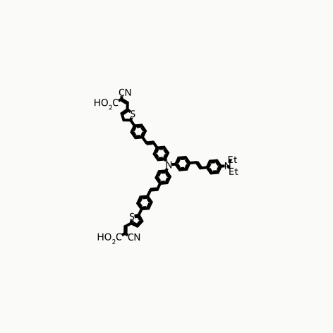 CCN(CC)c1ccc(/C=C/c2ccc(N(c3ccc(/C=C/c4ccc(-c5ccc(/C=C(\C#N)C(=O)O)s5)cc4)cc3)c3ccc(/C=C/c4ccc(C5CC=C(/C=C(/C#N)C(=O)O)S5)cc4)cc3)cc2)cc1